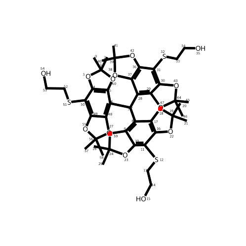 CC1(C)Oc2c(c([C](c3c4c(c(SCCO)c5c3OC(C)(C)O5)OC(C)(C)O4)c3c4c(c(SCCO)c5c3OC(C)(C)O5)OC(C)(C)O4)c3c(c2SCCO)OC(C)(C)O3)O1